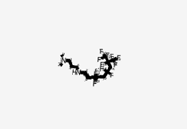 CN(C)CCCNCCC(F)(F)CC(F)(F)CC(F)(C(F)(F)F)C(F)(F)F